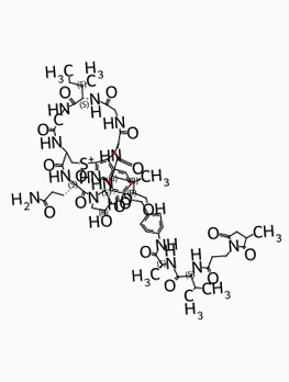 CC[C@H](C)[C@@H]1NC(=O)CNC(=O)C2Cc3c([nH]c4cc(OCc5ccc(NC(=O)[C@H](C)NC(=O)[C@@H](NC(=O)CCN6C(=O)CC(C)C6=O)C(C)C)cc5)ccc34)[S+]([O-])CC(NC(=O)CNC1=O)C(=O)N[C@@H](CCC(N)=O)C(=O)N1C[C@H](O)C[C@]1(C=O)N[C@@H]([C@@H](C)[C@@H](O)CO)C(=O)N2